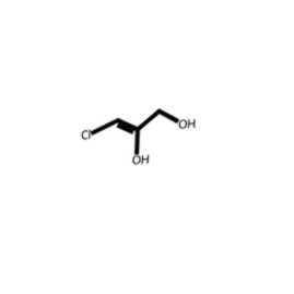 OCC(O)=CCl